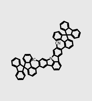 N#Cc1cc2c(cc1-c1cccc3c1-c1ccccc1C31c3ccccc3-c3ccccc31)c1cccc3c4cc(-c5cccc6c5-c5ccccc5C65c6ccccc6-c6ccccc65)c(C#N)cc4n2c13